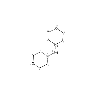 C1CN(PN2CCOCC2)CCO1